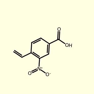 C=Cc1ccc(C(=O)O)cc1[N+](=O)[O-]